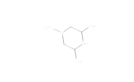 CC1CN(C=O)CC(O)N1